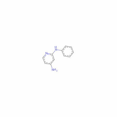 Nc1ccnc(Nc2ccccc2)c1